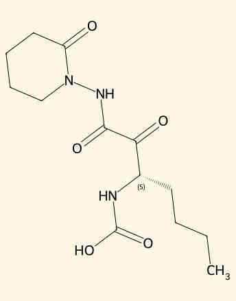 CCCC[C@H](NC(=O)O)C(=O)C(=O)NN1CCCCC1=O